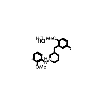 COc1[c]cccc1NN1CCCC(Cc2cc(Cl)ccc2OC)C1.Cl.Cl